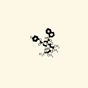 CN[C@@H](C)C(=O)N[C@H](C(=O)N1CCN(C(=O)Oc2ccc(F)cc2)C[C@H]1C(=O)NC1CCCc2ccccc21)C(C)C